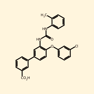 Cc1ccccc1NC(=O)Nc1cc(-c2cccc(C(=O)O)c2)ccc1Oc1cccc(Cl)c1